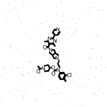 CC(=O)N1CCC(OC(=O)N(CCCN2CC3CN(C(=O)c4c(C)nc(-c5ccncc5)nc4C)CC3C2)c2ccc(C)c(Cl)c2)CC1